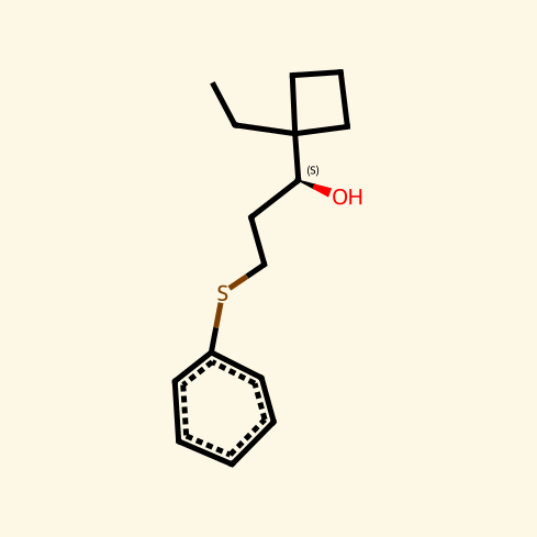 CCC1([C@@H](O)CCSc2ccccc2)CCC1